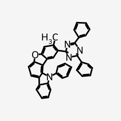 Cc1cc2oc3ccc4c5ccccc5n(-c5ccccc5)c4c3c2cc1-c1nc(-c2ccccc2)nc(-c2ccccc2)n1